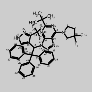 CC(C)(C)c1nc(N2CCC(F)(F)C2)c2nnn(C(c3c[nH]nc3C(F)(F)F)C(c3ccccc3)(c3ccccc3)c3ccccc3)c2n1